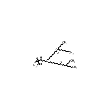 CCCCCCCC(CCCCC)OC(=O)CCCCCCCN(CCCCCCCC(=O)OCCC(CCCC)CCCC)CCCNc1c(NC)c(=O)c1=O